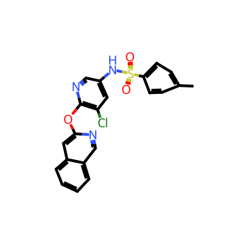 Cc1ccc(S(=O)(=O)Nc2cnc(Oc3cc4ccccc4cn3)c(Cl)c2)cc1